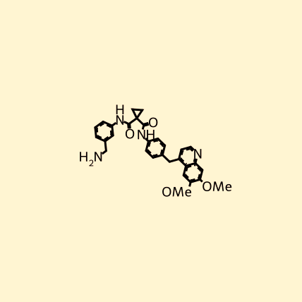 COc1cc2nccc(Cc3ccc(NC(=O)C4(C(=O)Nc5cccc(CN)c5)CC4)cc3)c2cc1OC